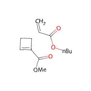 C=CC(=O)OCCCC.COC(=O)C1=CCC1